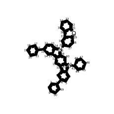 c1ccc(-c2ccc3c(c2)c2cc4c5cc(-c6ccccc6)ccc5n(-c5ccc6oc7ccccc7c6c5)c4cc2n3-c2ccccc2)cc1